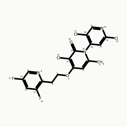 Cc1cc(OCCc2ncc(F)cc2F)c(Cl)c(=O)n1-c1cc(Cl)ncc1Cl